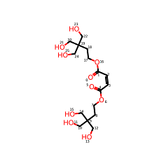 O=C(/C=C\C(=O)OCCC(CO)(CO)CO)OCCC(CO)(CO)CO